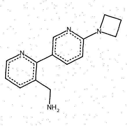 NCc1cccnc1-c1ccc(N2CCC2)nc1